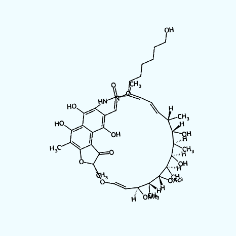 CO[C@H]1/C=C/O[C@@]2(C)Oc3c(C)c(O)c4c(O)c(c(/C=N/OCCCCCCO)c(O)c4c3C2=O)NC(=O)/C(C)=C\C=C\[C@H](C)[C@H](O)[C@@H](C)[C@@H](O)[C@@H](C)[C@H](OC(C)=O)[C@@H]1C